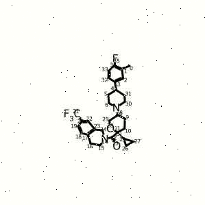 Cc1cc(C2CCN([C@@H]3CC[C@@](C(=O)N4CCc5ccc(C(F)(F)F)cc5C4)(C4CC4)OC3)CC2)ccc1F